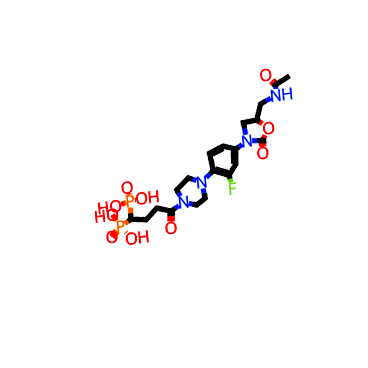 CC(=O)NCC1CN(c2ccc(N3CCN(C(=O)CCC(P(=O)(O)O)P(=O)(O)O)CC3)c(F)c2)C(=O)O1